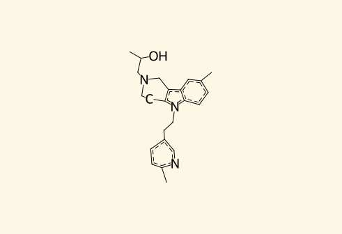 Cc1ccc2c(c1)c1c(n2CCc2ccc(C)nc2)CCN(CC(C)O)C1